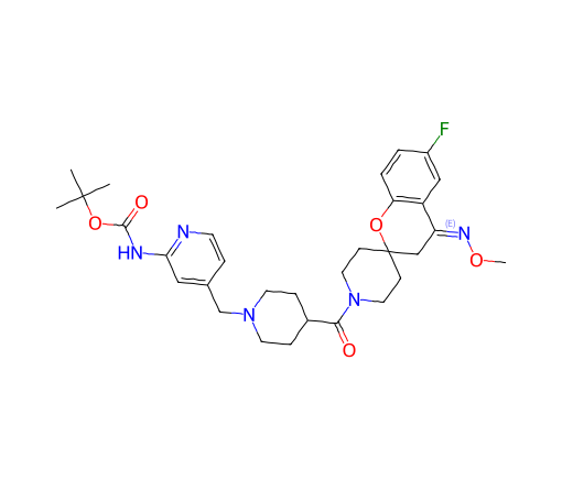 CO/N=C1\CC2(CCN(C(=O)C3CCN(Cc4ccnc(NC(=O)OC(C)(C)C)c4)CC3)CC2)Oc2ccc(F)cc21